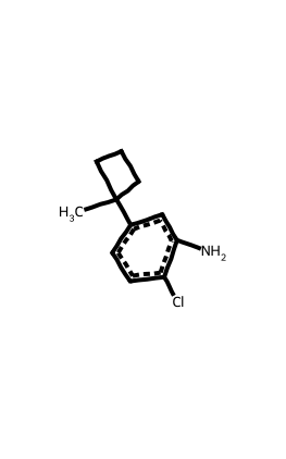 CC1(c2ccc(Cl)c(N)c2)CCC1